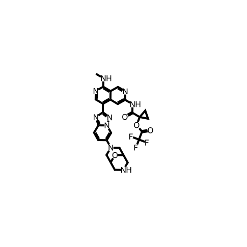 CNc1ncc(-c2nc3ccc(N4CC5CNCC(C4)O5)cn3n2)c2cc(NC(=O)C3(OC(=O)C(F)(F)F)CC3)ncc12